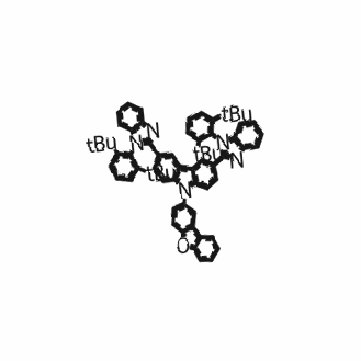 CC(C)(C)c1cccc(C(C)(C)C)c1-n1c(-c2ccc3c(c2)c2cc(-c4nc5ccccc5n4-c4c(C(C)(C)C)cccc4C(C)(C)C)ccc2n3-c2ccc3oc4ccccc4c3c2)nc2ccccc21